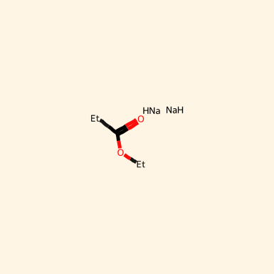 CCOC(=O)CC.[NaH].[NaH]